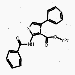 CCCOC(=O)c1c(-c2ccccc2)csc1NC(=O)c1ccccc1